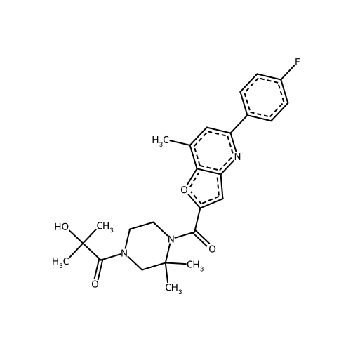 Cc1cc(-c2ccc(F)cc2)nc2cc(C(=O)N3CCN(C(=O)C(C)(C)O)CC3(C)C)oc12